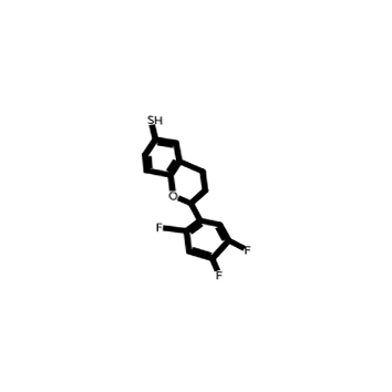 Fc1cc(F)c(C2CCc3cc(S)ccc3O2)cc1F